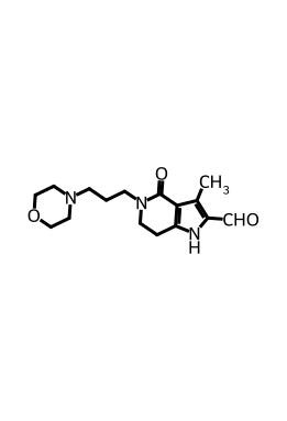 Cc1c(C=O)[nH]c2c1C(=O)N(CCCN1CCOCC1)CC2